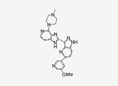 COc1cncc(-c2ccc3[nH]nc(-c4nc5c(N6CCN(C)CC6)nccc5[nH]4)c3n2)c1